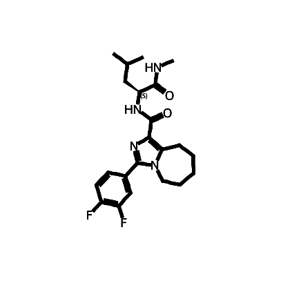 CNC(=O)[C@H](CC(C)C)NC(=O)c1nc(-c2ccc(F)c(F)c2)n2c1CCCCC2